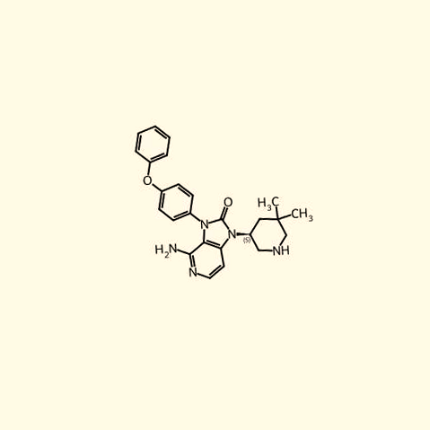 CC1(C)CNC[C@@H](n2c(=O)n(-c3ccc(Oc4ccccc4)cc3)c3c(N)nccc32)C1